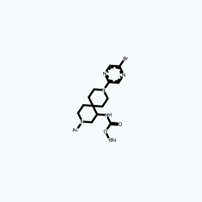 CC(=O)N1CCC2(CCN(c3cnc(Br)cn3)CC2)C(NC(=O)OC(C)(C)C)C1